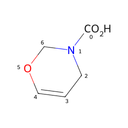 O=C(O)N1CC=COC1